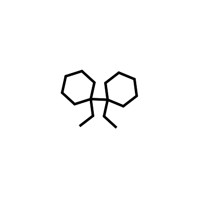 CCC1(C2(CC)CCCCC2)CCCCC1